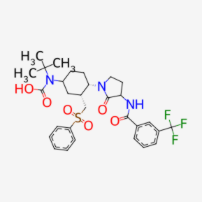 CC(C)(C)N(C(=O)O)C1CC[C@H](N2CCC(NC(=O)c3cccc(C(F)(F)F)c3)C2=O)[C@H](CS(=O)(=O)c2ccccc2)C1